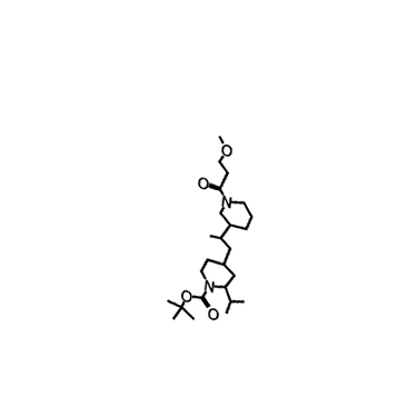 COCCC(=O)N1CCCC(C(C)CC2CCN(C(=O)OC(C)(C)C)C(C(C)C)C2)C1